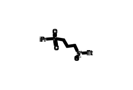 CC[S+]([O-])CCCS(=O)(=O)C(C)C